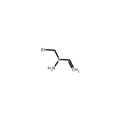 C=CN(N)CCC